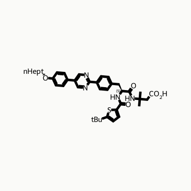 CCCCCCCOc1ccc(-c2cnc(-c3ccc(C[C@H](NC(=O)c4ccc(C(C)(C)C)s4)C(=O)NC(C)(C)CC(=O)O)cc3)nc2)cc1